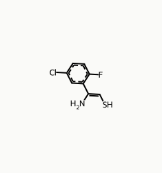 N/C(=C\S)c1cc(Cl)ccc1F